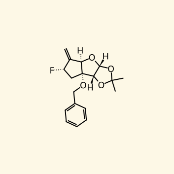 C=C1[C@H]2O[C@@H]3OC(C)(C)O[C@@H]3[C@@]2(OCc2ccccc2)C[C@@H]1F